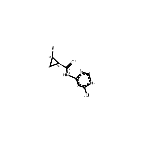 O=C(Nc1cc(Cl)ncn1)[C@H]1C[C@H]1F